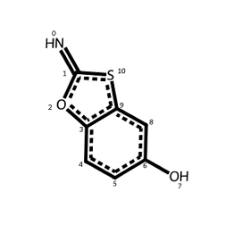 N=c1oc2ccc(O)cc2s1